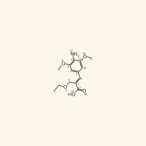 CCOC/C(=C\c1cc(OC)c(N)c(OC)c1)C(=O)O